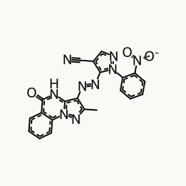 Cc1nn2c([nH]c(=O)c3ccccc32)c1/N=N/c1c(C#N)cnn1-c1ccccc1[N+](=O)[O-]